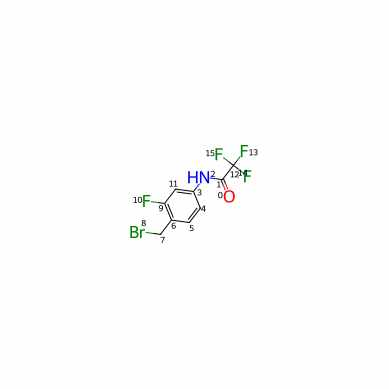 O=C(Nc1ccc(CBr)c(F)c1)C(F)(F)F